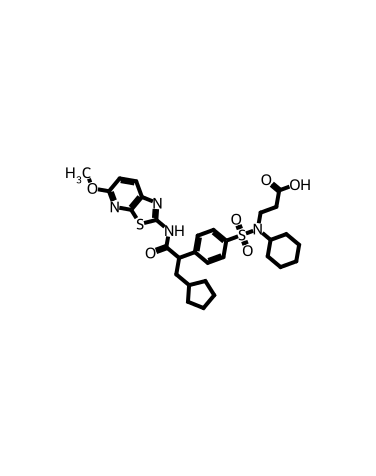 COc1ccc2nc(NC(=O)C(CC3CCCC3)c3ccc(S(=O)(=O)N(CCC(=O)O)C4CCCCC4)cc3)sc2n1